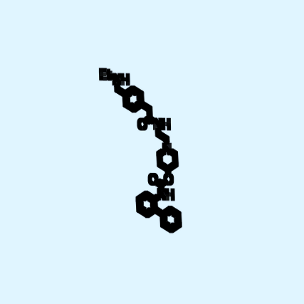 CCNCc1ccc(CC(=O)NCCN2CCC(OC(=O)Nc3ccccc3-c3ccccc3)CC2)cc1